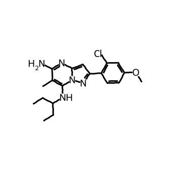 CCC(CC)Nc1c(C)c(N)nc2cc(-c3ccc(OC)cc3Cl)nn12